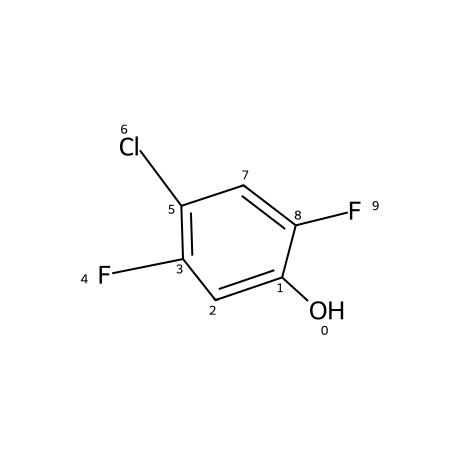 Oc1cc(F)c(Cl)cc1F